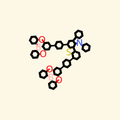 c1ccc(-n2c3ccccc3c3cc(-c4ccc(-c5cc6c7c(c5)Oc5ccccc5B7c5ccccc5O6)cc4)c4sc5c(-c6ccc(-c7cc8c9c(c7)Oc7ccccc7B9c7ccccc7O8)cc6)cccc5c4c32)cc1